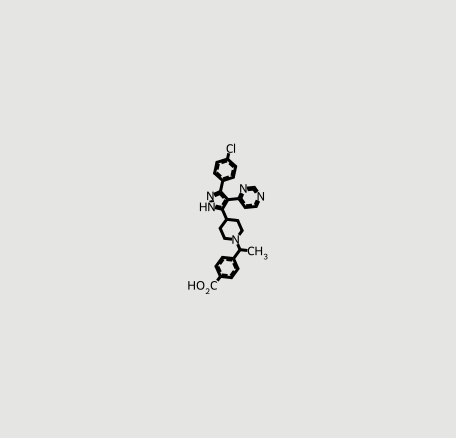 CC(c1ccc(C(=O)O)cc1)N1CCC(c2[nH]nc(-c3ccc(Cl)cc3)c2-c2ccncn2)CC1